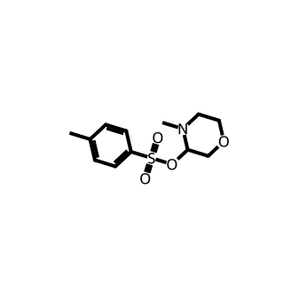 Cc1ccc(S(=O)(=O)OC2COCCN2C)cc1